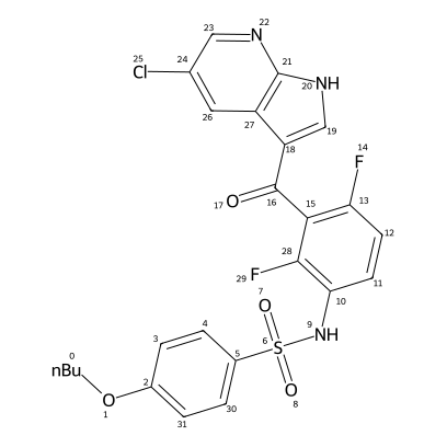 CCCCOc1ccc(S(=O)(=O)Nc2ccc(F)c(C(=O)c3c[nH]c4ncc(Cl)cc34)c2F)cc1